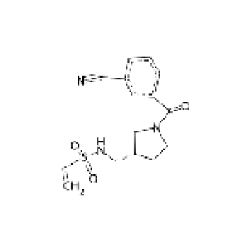 C=CS(=O)(=O)NC[C@H]1CCN(C(=O)c2cccc(C#N)c2)C1